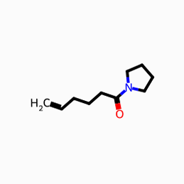 C=CCCCC(=O)N1CCCC1